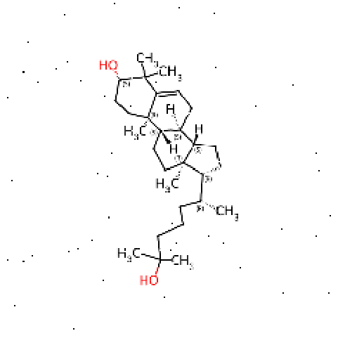 C[C@H](CCCC(C)(C)O)[C@H]1CC[C@H]2[C@@H]3CC=C4C(C)(C)[C@@H](O)CC[C@]4(C)[C@H]3CC[C@]12C